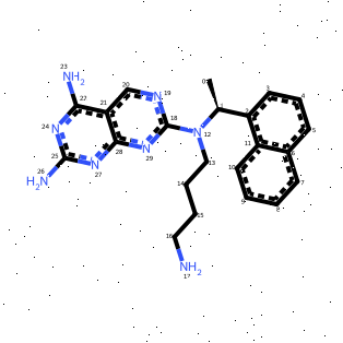 C[C@@H](c1cccc2ccccc12)N(CCCCN)c1ncc2c(N)nc(N)nc2n1